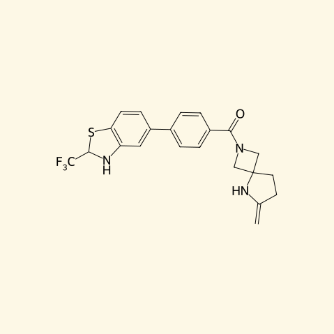 C=C1CCC2(CN(C(=O)c3ccc(-c4ccc5c(c4)NC(C(F)(F)F)S5)cc3)C2)N1